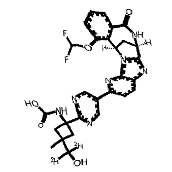 [2H]C([2H])(O)C1(C)CC(NC(=O)O)(c2ncc(-c3ccc4nc5n(c4n3)[C@@H]3C[C@H]5NC(=O)c4cccc(OC(F)F)c43)cn2)C1